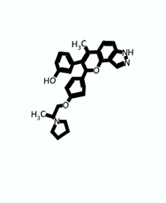 CC1=C(c2cccc(O)c2)C(c2ccc(OCC(C)N3CCCC3)cc2)Oc2c1ccc1[nH]ncc21